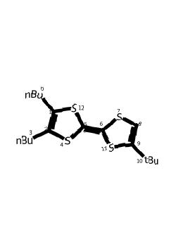 CCCCC1=C(CCCC)SC(=C2SC=C(C(C)(C)C)S2)S1